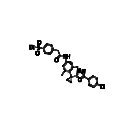 CCS(=O)(=O)c1ccc(CC(=O)Nc2cc(C)c(C3(c4nnc(-c5ccc(Cl)cc5)o4)CC3)c(C)c2)cc1